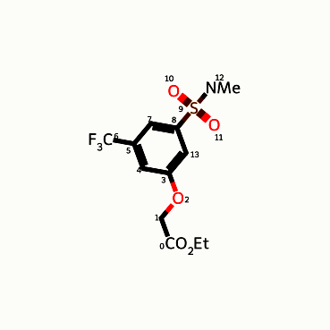 CCOC(=O)COc1cc(C(F)(F)F)cc(S(=O)(=O)NC)c1